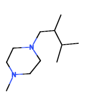 CC(C)C(C)CN1CCN(C)CC1